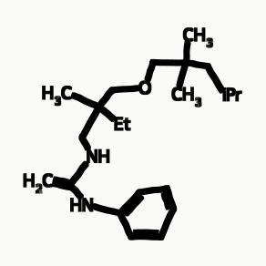 C=C(NCC(C)(CC)COCC(C)(C)CC(C)C)Nc1ccccc1